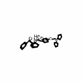 O=C(c1ccccc1)c1ccccc1N[C@@H](Cc1ccc(OCCN(c2ccccc2)C2CCCC2)cc1)C(=O)O